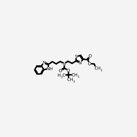 CCOC(=O)c1csc(CCN(CCCc2nc3ccccc3[nH]2)C(=O)OC(C)(C)C)n1